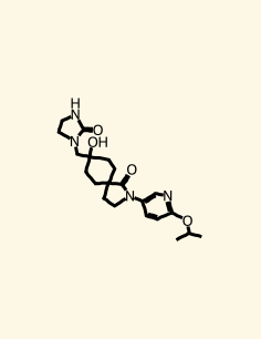 CC(C)Oc1ccc(N2CCC3(CCC(O)(CN4CCNC4=O)CC3)C2=O)cn1